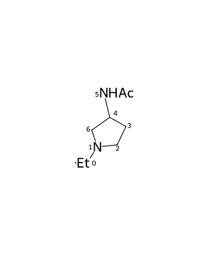 C[CH]N1CCC(NC(C)=O)C1